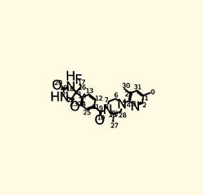 Cc1cnc(N2CCN(C(=O)c3ccc(C4(CF)NC(=O)NC4=O)cc3)[C@H](C)C2)c(C)c1